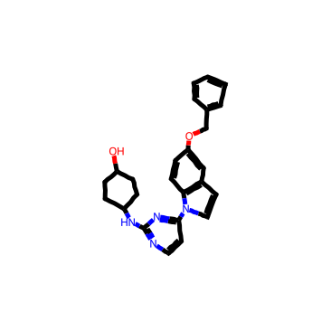 OC1CCC(Nc2nccc(-n3ccc4cc(OCc5ccccc5)ccc43)n2)CC1